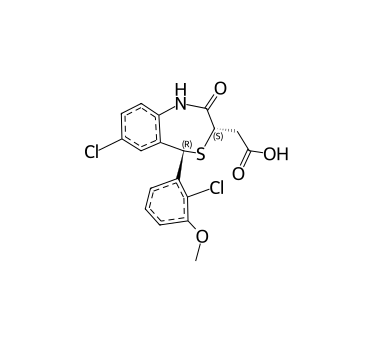 COc1cccc([C@@H]2S[C@@H](CC(=O)O)C(=O)Nc3ccc(Cl)cc32)c1Cl